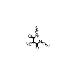 N#CC(C(=O)N=C=S)C(=O)N=C=S